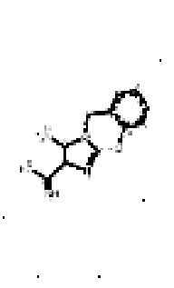 N#CC(=N)C1N=CN(Cc2ccccc2Cl)C1N